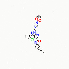 Cc1ccc(NC(=O)c2cnc3c(c(C)nn3CCN3CCN(C(=O)OC(C)(C)C)CC3)c2Cl)cc1